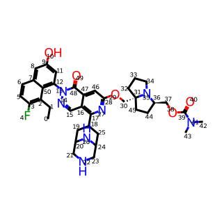 CCc1c(F)ccc2cc(O)cc(-n3ncc4c(C5CC6CNCC(C5)N6)nc(OC[C@]56CCCN5[C@@H](COC(=O)N(C)C)CC6)cc4c3=O)c12